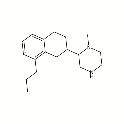 CCCc1cccc2c1CC(C1CNCCN1C)CC2